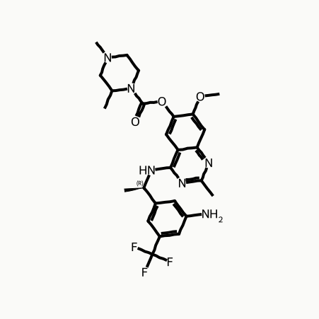 COc1cc2nc(C)nc(N[C@H](C)c3cc(N)cc(C(F)(F)F)c3)c2cc1OC(=O)N1CCN(C)CC1C